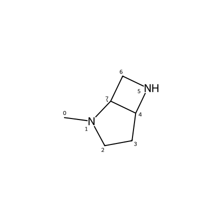 CN1CCC2NC[C]21